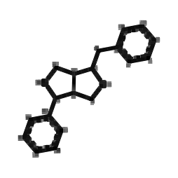 c1ccc(CC2OCC3C(c4ccccc4)OCC23)cc1